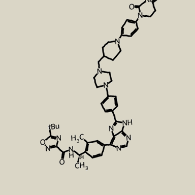 Cc1cc(-c2ncnc3[nH]c(-c4ccc(N5CCN(CC6CCN(c7ccc(N8CCC(=O)NC8=O)cc7)CC6)CC5)cc4)nc23)ccc1[C@@H](C)NC(=O)c1noc(C(C)(C)C)n1